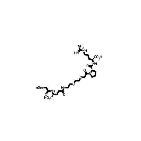 CCCCCCCCCCCC(=O)N[C@@H](CCC(=O)NCCOCCOCC(=O)N1CCC[C@H]1C(=O)N[C@@H](CCCNC(=N)N)C(=O)O)C(=O)O